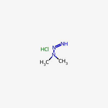 CN(C)N=N.Cl